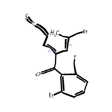 CC/C(C)=C/C(=C\C=C=S)C(=O)c1c(F)cccc1CC